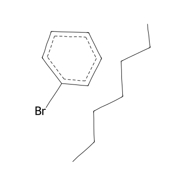 Brc1ccccc1.CCCCCCC